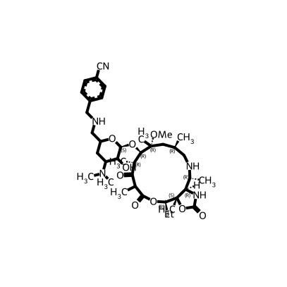 CC[C@H]1OC(=O)C(C)C(=O)[C@H](C)[C@@H](O[C@@H]2OC(CNCc3ccc(C#N)cc3)CC(N(C)C)C2O)[C@](C)(OC)C[C@@H](C)CN[C@H](C)[C@H]2NC(=O)O[C@@]21C